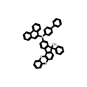 CC1(c2ccccc2)c2cc(N(c3ccc(-c4ccccc4)cc3)c3cc4ccccc4c4ccccc34)ccc2-c2c1ccc1c2Oc2ccccc2S1